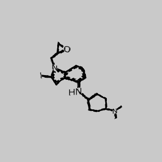 CN(C)C1CCC(Nc2cccc3c2cc(I)n3CC2CO2)CC1